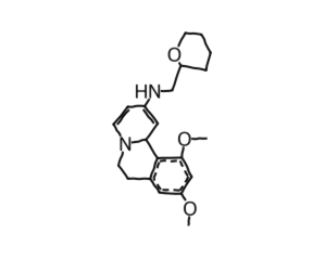 COc1cc2c(c(OC)c1)C1C=C(NCC3CCCCO3)C=CN1CC2